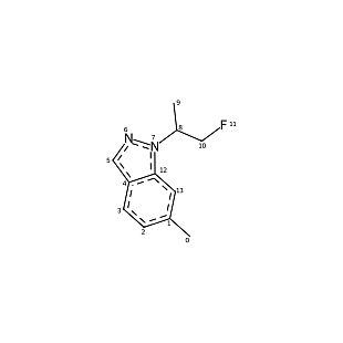 Cc1ccc2cnn(C(C)CF)c2c1